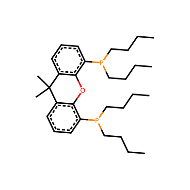 CCCCP(CCCC)c1cccc2c1Oc1c(P(CCCC)CCCC)cccc1C2(C)C